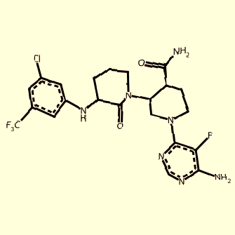 NC(=O)[C@H]1CCN(c2ncnc(N)c2F)CC1N1CCCC(Nc2cc(Cl)cc(C(F)(F)F)c2)C1=O